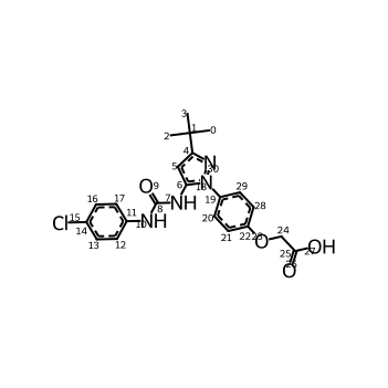 CC(C)(C)c1cc(NC(=O)Nc2ccc(Cl)cc2)n(-c2ccc(OCC(=O)O)cc2)n1